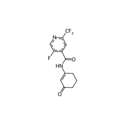 O=C1C=C(NC(=O)c2cc(C(F)(F)F)ncc2F)CCC1